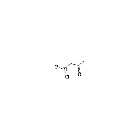 CC(=O)[CH2][Ti]([Cl])[Cl]